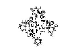 CC(OCc1ccccc1)[C@H](NC(=O)[C@H](Cc1ccccc1)NC(=O)OCc1ccccc1)C(=O)O.Cc1cc(C)c(C(=O)OCC(=O)COC(=O)c2c(C)cc(C)cc2C)c(C)c1